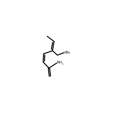 C=C(N)/C=C\C(=C/C)CC(C)(C)C